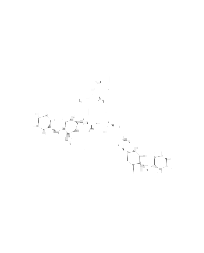 Cc1cc(NC(=O)CCN(CCCN(CCO)CCO)CCC(=O)Nc2ccc(Nc3ccccc3)c([N+](=O)[O-])c2)ccc1Nc1ccccc1